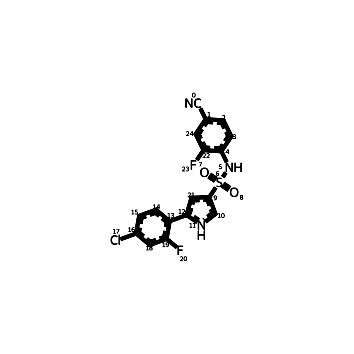 N#Cc1ccc(NS(=O)(=O)c2c[nH]c(-c3ccc(Cl)cc3F)c2)c(F)c1